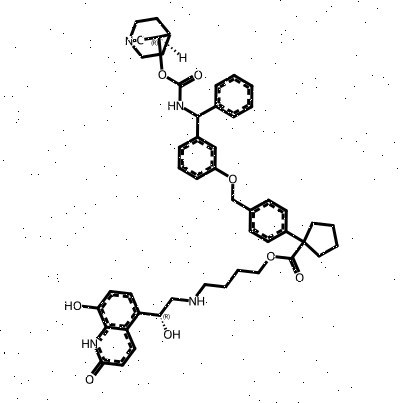 O=C(NC(c1ccccc1)c1cccc(OCc2ccc(C3(C(=O)OCCCCNC[C@H](O)c4ccc(O)c5[nH]c(=O)ccc45)CCCC3)cc2)c1)O[C@H]1CN2CCC1CC2